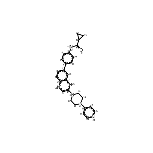 O=C(Nc1ccc(-c2ccc3ncc(N4CCN(c5ccncc5)CC4)nc3c2)cc1)C1CC1